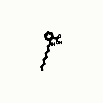 CCCCCCCCNc1ccccc1C(=O)O